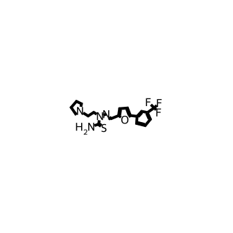 NC(=S)N(CCN1CCCC1)N=Cc1ccc(-c2cccc(C(F)(F)F)c2)o1